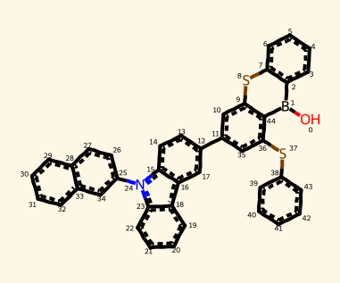 OB1c2ccccc2Sc2cc(-c3ccc4c(c3)c3ccccc3n4-c3ccc4ccccc4c3)cc(Sc3ccccc3)c21